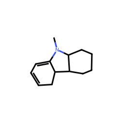 CN1C2=CC=CCC2C2CCCCC21